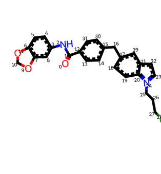 O=C(Nc1ccc2c(c1)OCO2)c1ccc(Cc2ccc3c(ccn3CCCCl)c2)cc1